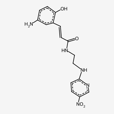 Nc1ccc(O)c(/C=C/C(=O)NCCNc2ccc([N+](=O)[O-])cn2)c1